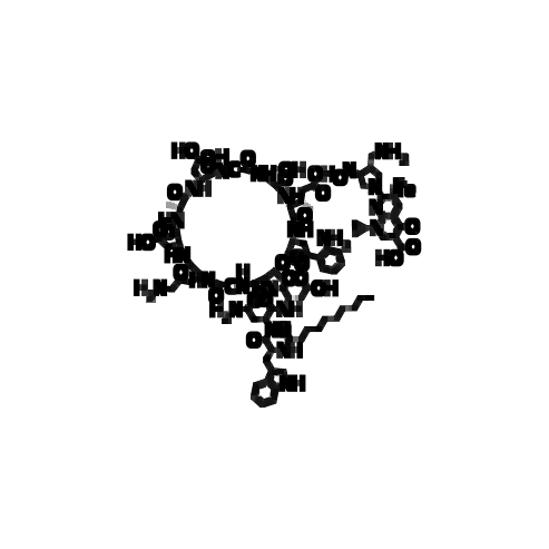 CCCCCCCCCC(=O)N[C@@H](Cc1c[nH]c2ccccc12)C(=O)N[C@@H](CC(N)=O)C(=O)N[C@@H](CC(=O)O)C(=O)N[C@H]1C(=O)NCC(=O)N[C@@H](CCCN)C(=O)N[C@@H](CC(=O)O)C(=O)N[C@H](C)C(=O)N[C@@H](CC(=O)O)C(=O)NCC(=O)N[C@H](CO)C(=O)N[C@H]([C@@H](C)CC(=O)O)C(=O)N[C@@H](CC(=O)c2ccccc2N)C(=O)OC1C.CO/N=C1\CN(c2nc3c(cc2F)c(=O)c(C(=O)O)cn3C2CC2)CC1CN.[Te]